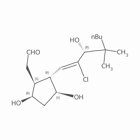 CCCCC(C)(C)[C@@H](O)C(Cl)=C[C@H]1[C@H](CC=O)[C@H](O)C[C@@H]1O